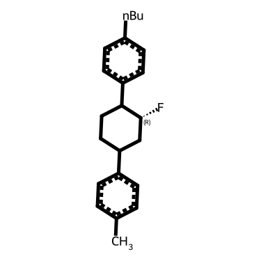 CCCCc1ccc(C2CCC(c3ccc(C)cc3)C[C@H]2F)cc1